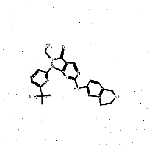 CC(C)(C#N)c1cccc(-n2c3nc(Nc4ccc5c(c4)CCNC5)ncc3c(=O)n2CC(F)(F)F)n1